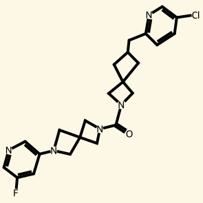 O=C(N1CC2(CC(Cc3ccc(Cl)cn3)C2)C1)N1CC2(C1)CN(c1cncc(F)c1)C2